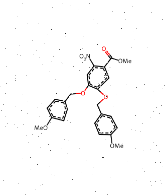 COC(=O)c1cc(OCc2ccc(OC)cc2)c(OCc2ccc(OC)cc2)cc1[N+](=O)[O-]